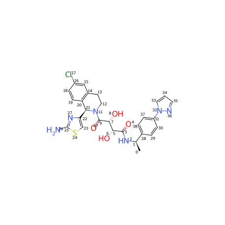 C[C@@H](NC(=O)[C@H](O)[C@@H](O)C(=O)N1CCc2cc(Cl)ccc2[C@@H]1c1csc(N)n1)c1ccc(-n2cccn2)cc1